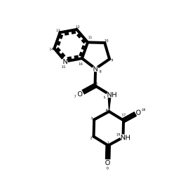 O=C1CC[C@@H](NC(=O)N2CCc3cccnc32)C(=O)N1